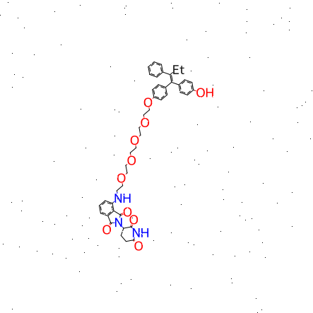 CC/C(=C(\c1ccc(O)cc1)c1ccc(OCCOCCOCCOCCOCCNc2cccc3c2C(=O)N(C2CCC(=O)NC2=O)C3=O)cc1)c1ccccc1